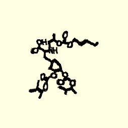 CCCCCOC(=O)OC(C)CN[C@@H](Cc1ccc(OC(=O)OC(C)C(C)C)c(OC(=O)OC(C)C(C)C)c1)C(=O)O